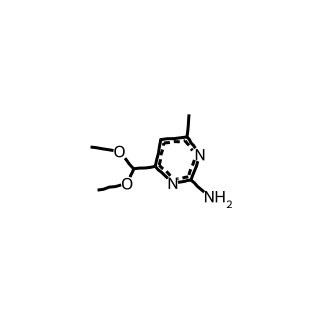 COC(OC)c1cc(C)nc(N)n1